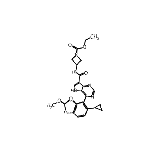 CCOC(=O)N1CC(NC(=O)c2c[nH]c3c(-c4c(C5CC5)ccc5c4OC(OC)O5)ncnc23)C1